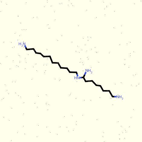 NCCCCCCCCCCCCNC(N)CCCCCCCN